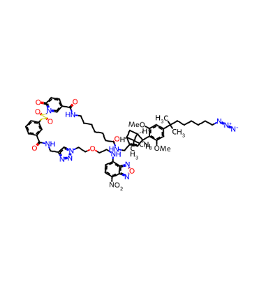 COc1cc(C(C)(C)CCCCCCN=[N+]=[N-])cc(OC)c1[C@H]1C=C(CNC(=O)CCCCCCNC(=O)c2ccc(=O)n(S(=O)(=O)c3cccc(C(=O)NCc4cn(CCOCCNc5ccc([N+](=O)[O-])c6nonc56)nn4)c3)c2)[C@H]2C[C@@H]1C2(C)C